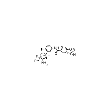 [2H]C([2H])([2H])Oc1ccc(C(=O)Nc2ccc(F)c([C@]3(C)CC[C@@](F)(CF)C(N)=N3)c2)nc1